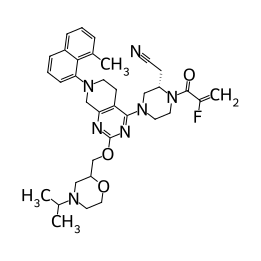 C=C(F)C(=O)N1CCN(c2nc(OCC3CN(C(C)C)CCO3)nc3c2CCN(c2cccc4cccc(C)c24)C3)C[C@@H]1CC#N